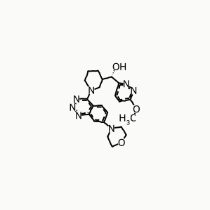 COc1ccc([C@@H](O)C2CCCN(c3nnnc4cc(N5CCOCC5)ccc34)C2)nn1